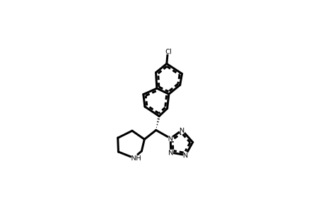 Clc1ccc2cc([C@@H](C3CCCNC3)n3ncnn3)ccc2c1